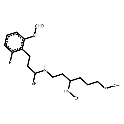 CCCC(CCc1c(F)cccc1NC=O)NCCC(CCCSO)NCC